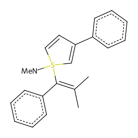 CNS1(C(=C(C)C)c2ccccc2)C=CC(c2ccccc2)=C1